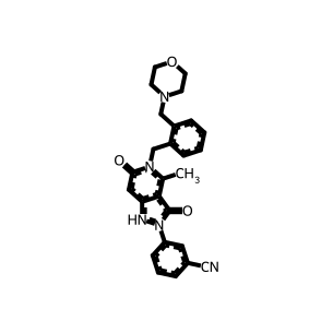 Cc1c2c(=O)n(-c3cccc(C#N)c3)[nH]c2cc(=O)n1Cc1ccccc1CN1CCOCC1